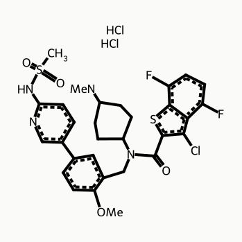 CNC1CCC(N(Cc2cc(-c3ccc(NS(C)(=O)=O)nc3)ccc2OC)C(=O)c2sc3c(F)ccc(F)c3c2Cl)CC1.Cl.Cl